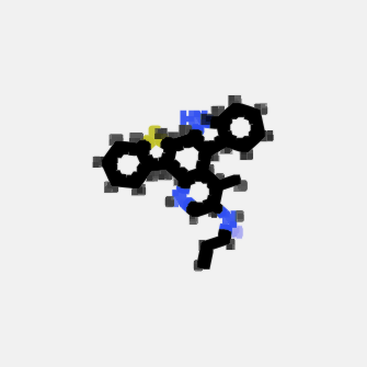 C=C/C=N\c1cnc2c(c1C)c1c3ccccc3[nH]c1c1sc3ccccc3c21